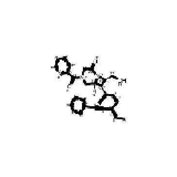 C=C(/C=C\C(C#Cc1ccccc1)=C/C)[C@@H]1[C@H](CO)N2C(=O)CN(C(=O)c3ccccn3)C[C@@H]12